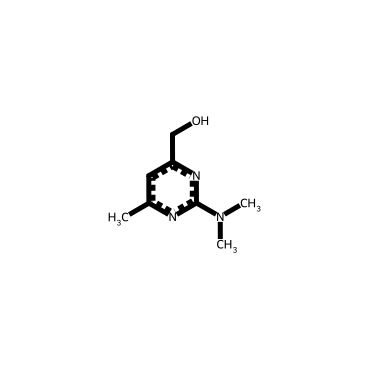 Cc1cc(CO)nc(N(C)C)n1